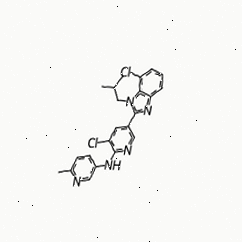 Cc1ccc(Nc2ncc(-c3nc4cccc(Cl)c4n3CC(C)C)cc2Cl)cn1